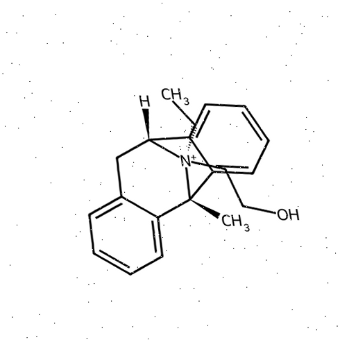 CC[N@@+]1(CCO)[C@@H]2Cc3ccccc3[C@@]1(C)c1ccccc12